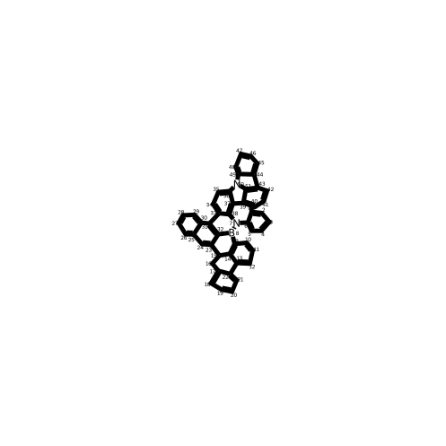 Cc1ccccc1N1B2c3cccc4c3C(Cc3ccccc3-4)c3cc4ccccc4c(c32)-c2ccc3c(c21)c1cccc2c4ccccc4n3c21